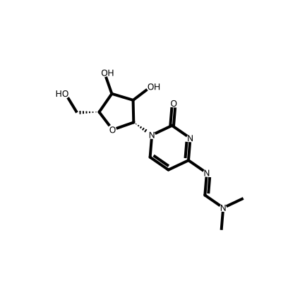 CN(C)/C=N/c1ccn([C@@H]2O[C@H](CO)C(O)C2O)c(=O)n1